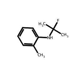 Cc1ccccc1NC(C)(C)F